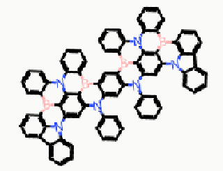 c1ccc(N2c3cc4c(cc3B3c5ccccc5N5c6ccccc6B6c7c(cc2c3c75)-n2c3ccccc3c3cccc6c32)B2c3ccccc3N3c5ccccc5B5c6c(cc(c2c63)N4c2ccccc2)-n2c3ccccc3c3cccc5c32)cc1